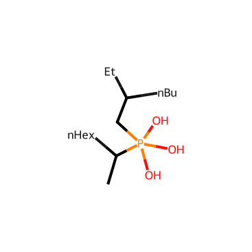 CCCCCCC(C)P(O)(O)(O)CC(CC)CCCC